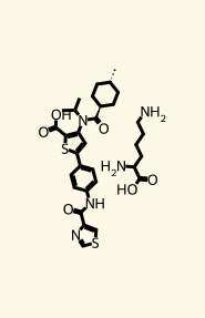 CC(C)N(c1cc(-c2ccc(NC(=O)c3cscn3)cc2)sc1C(=O)O)C(=O)[C@H]1CC[C@H](C)CC1.NCCCCC(N)C(=O)O